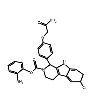 NC(=O)COc1ccc(C2c3[nH]c4c(c3CCN2C(=O)Oc2ccccc2N)=CC(Cl)CC=4)cc1